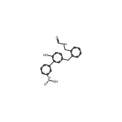 O=CNCc1ccccc1Cc1ccc(O)c(-c2cccc([NH+]([O-])O)c2)c1